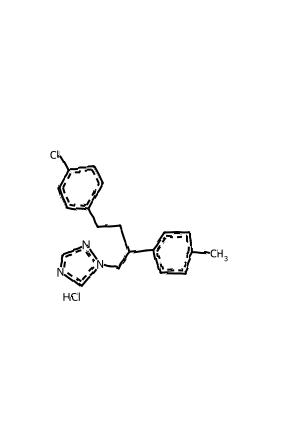 Cc1ccc(C(CCc2ccc(Cl)cc2)Cn2cncn2)cc1.Cl